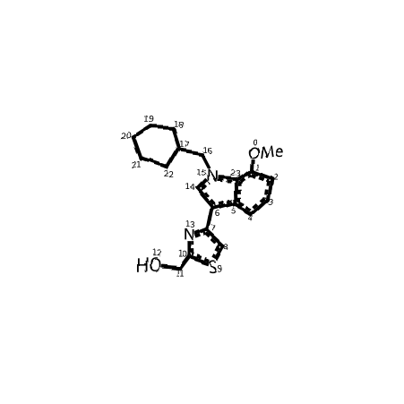 COc1cccc2c(-c3csc(CO)n3)cn(CC3CCCCC3)c12